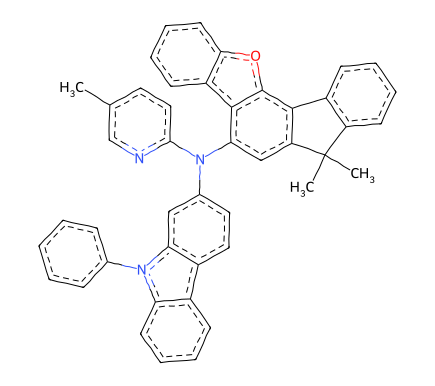 Cc1ccc(N(c2ccc3c4ccccc4n(-c4ccccc4)c3c2)c2cc3c(c4oc5ccccc5c24)-c2ccccc2C3(C)C)nc1